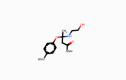 CNC(=O)CC(C)(NCCO)Oc1ccc(OC)cc1